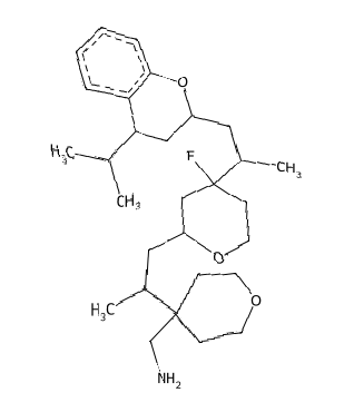 CC(C)C1CC(CC(C)C2(F)CCOC(CC(C)C3(CN)CCOCC3)C2)Oc2ccccc21